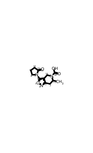 CC1Cc2noc(N3CCCC3=O)c2CN1C(=O)O